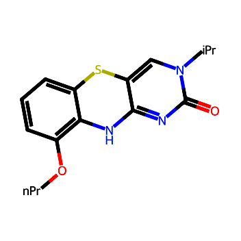 CCCOc1cccc2c1Nc1nc(=O)n(C(C)C)cc1S2